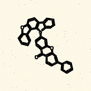 O=c1c2ccc(-c3ccccc3)cc2oc2cc(-n3c4ccccc4c4ccc5oc6ccccc6c5c43)ccc12